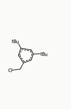 CC(C)(C)c1cc(CCl)cc(C(C)(C)C)c1